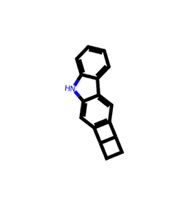 c1ccc2c(c1)[nH]c1cc3c(cc12)C1CCC31